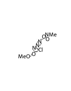 CNC(=O)OCCN1CCN(c2ncc(OCCOC)cc2Cl)CC1